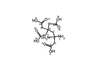 NC(N)(CC(=O)O)CC(CC(=O)O)(CC(=O)O)CC(=O)O